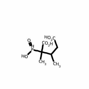 CC(CC(=O)O)C(C)(C(=O)O)[PH](=O)O